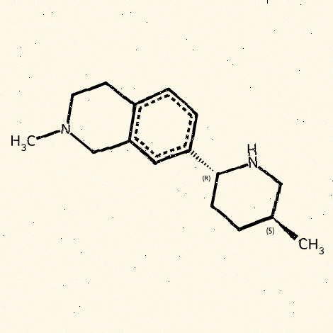 C[C@H]1CC[C@H](c2ccc3c(c2)CN(C)CC3)NC1